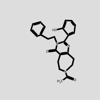 CC(=O)N1CCc2nc(-c3ccccc3O)n(CCc3ccccc3)c(=O)c2CC1